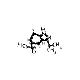 CC(C)c1n[nH]c2ccc(C(=O)O)cc12